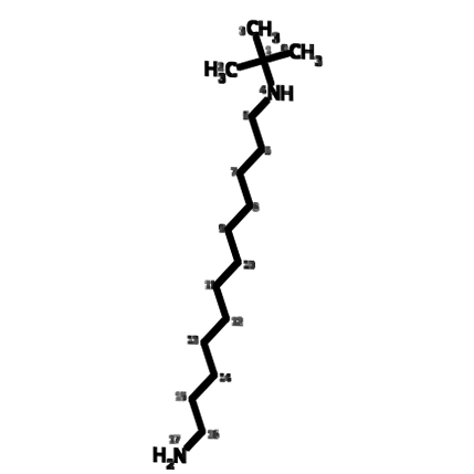 CC(C)(C)NCCCCCCCCCCCCN